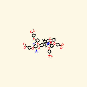 COC(=O)c1ccc(Oc2cccc(Oc3cc4c(cc3Oc3cccc(Oc5ccc(C(=O)OC)cc5)c3C#N)C3(CC(C)(C)c5cc(Oc6cccc(Oc7ccc(C(=O)C=O)cc7)c6C#N)c(Oc6cccc(Oc7ccc(C(=O)OC)cc7)c6C#N)cc53)CC4(C)C)c2C#N)cc1